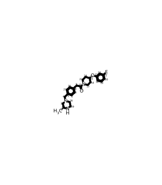 C[C@H]1CN(Cc2ccc(CC(=O)N3CCC(Oc4cccc(F)c4)CC3)cc2)CCN1